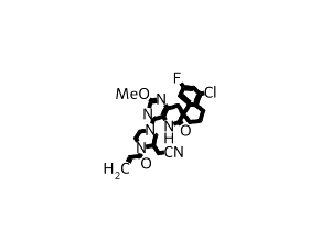 C=CC(=O)N1CCN(c2nc(OC)nc3c2NC(=O)C2(CCCc4c(Cl)cc(F)cc42)C3)CC1CC#N